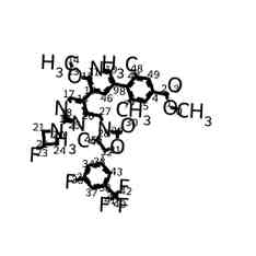 COC(=O)c1cc(C)c(-c2cnc(OC)c(-c3cnc(N4CC(F)C4)nc3CN3C(=O)O[C@H](c4cc(F)cc(C(F)(F)F)c4)[C@@H]3C)c2)c(C)c1